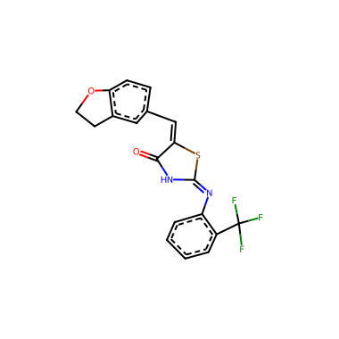 O=C1NC(=Nc2ccccc2C(F)(F)F)SC1=Cc1ccc2c(c1)CCO2